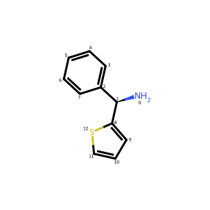 N[C@H](c1ccccc1)c1cccs1